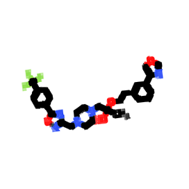 CC(O)(CN1CCN(Cc2noc(-c3ccc(C(F)(F)F)cc3)n2)CC1)OCCc1cccc(-c2cocn2)c1